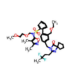 CCOCc1cc(CN2C(=O)C3(CCCC3)N=C2CCC(C)(F)F)ccc1-c1ccccc1S(=O)(=O)N(COCCOC)c1onc(C)c1C